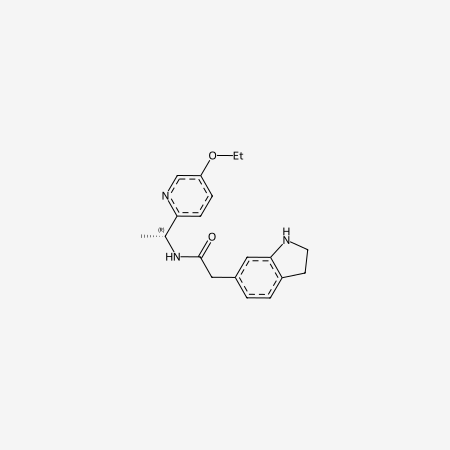 CCOc1ccc([C@@H](C)NC(=O)Cc2ccc3c(c2)NCC3)nc1